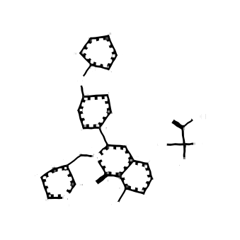 O=C(O)C(F)(F)F.O=c1c2c(Cl)cccc2cc(-c2ccc(Oc3ccccc3)cc2)n1Cc1cccnc1